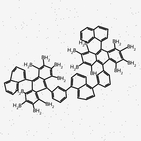 Bc1c(B)c(B)c2c(-c3cccc4ccccc34)c3c(B)c(B)c(B)c(B)c3c(-c3cccc(-c4cccc5c(-c6cccc(-c7c8c(B)c(B)c(B)c(B)c8c(-c8cccc9ccccc89)c8c(B)c(B)c(B)c(B)c78)c6)cccc45)c3)c2c1B